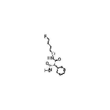 O=C(NOCCCCF)C(c1ccccc1)[PH](=O)O